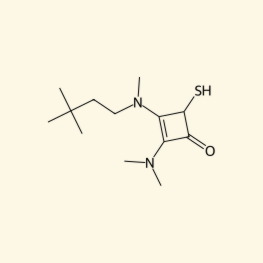 CN(C)C1=C(N(C)CCC(C)(C)C)C(S)C1=O